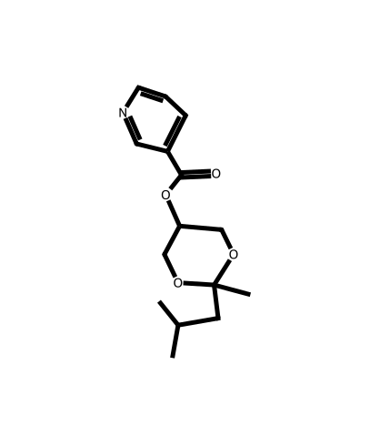 CC(C)CC1(C)OCC(OC(=O)c2cccnc2)CO1